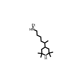 CCNCCCCC(C)C1CC(C)(C)NC(C)(C)C1